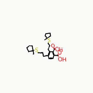 CC1(SCCCc2ccc(C(=O)O)c(C(=O)O)c2CCCSC2(C)CCCC2)CCCC1